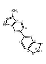 Cc1n[nH]c2cc(-c3ccc4c(c3)CNC4)ccc12